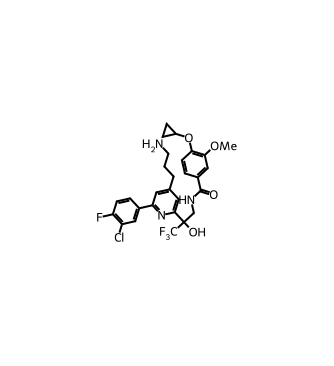 COc1cc(C(=O)NCC(O)(c2cc(CCCN)cc(-c3ccc(F)c(Cl)c3)n2)C(F)(F)F)ccc1OC1CC1